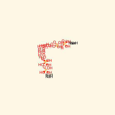 O.O.O.O.O.O.O.O.O.O.O=P(O)(O)O.O=P(O)(O)O.O=P(O)(O)O.O=P(O)(O)O.[NaH].[NaH].[NaH].[NaH]